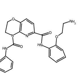 NCCOc1ccccc1NC(=O)c1ccc2c(n1)N(C(=O)Nc1ccccc1)CCO2